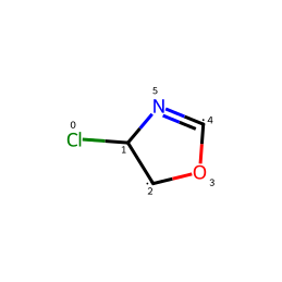 ClC1[CH]O[C]=N1